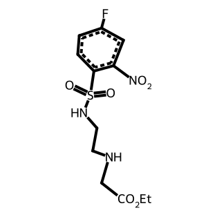 CCOC(=O)CNCCNS(=O)(=O)c1ccc(F)cc1[N+](=O)[O-]